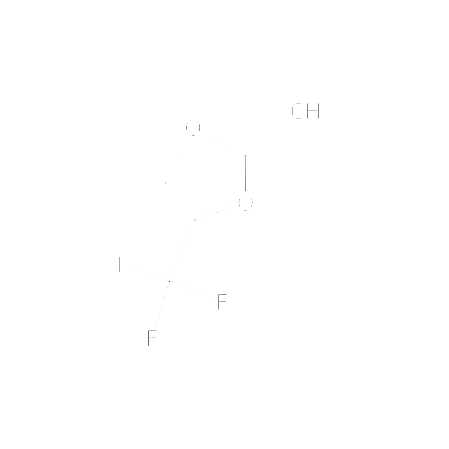 CC1OCC(C(F)(F)F)O1